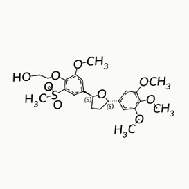 COc1cc([C@@H]2CC[C@@H](c3cc(OC)c(OCCO)c(S(C)(=O)=O)c3)O2)cc(OC)c1OC